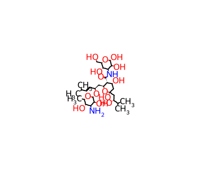 CC(C)/C=C/[C@@H](C[C@@H]1O[C@](O)(C[C@@H](O)C(C)C)C[C@H](O)[C@H]1C(=O)NC1C(O)C(O)OC(CO)C1O)OC1OC(C)C(O)C(N)C1O